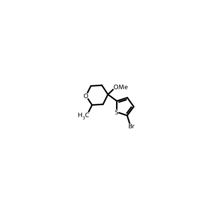 COC1(c2ccc(Br)s2)CCOC(C)C1